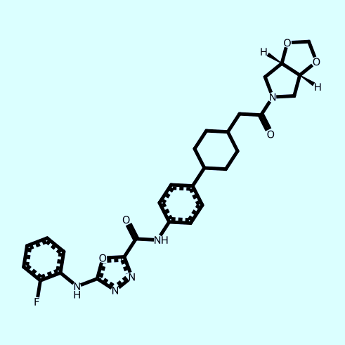 O=C(Nc1ccc(C2CCC(CC(=O)N3C[C@@H]4OCO[C@@H]4C3)CC2)cc1)c1nnc(Nc2ccccc2F)o1